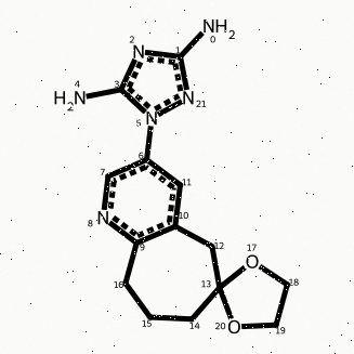 Nc1nc(N)n(-c2cnc3c(c2)CC2(CCC3)OCCO2)n1